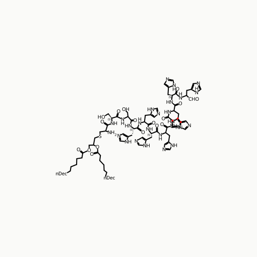 CCCCCCCCCCCCCCCC(=O)OCC(CSCC(N)C(=O)N[C@@H](CO)C(=O)NC(CO)C(=O)N[C@@H](Cc1cnc[nH]1)C(=O)NC(Cc1cnc[nH]1)C(=O)N[C@@H](Cc1cnc[nH]1)C(=O)NC(Cc1cnc[nH]1)C(=O)N[C@@H](Cc1cnc[nH]1)C(=O)NC(Cc1cnc[nH]1)C(=O)N[C@@H](Cc1cnc[nH]1)C(=O)NC(C=O)Cc1cnc[nH]1)OC(=O)CCCCCCCCCCCCCCC